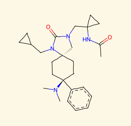 CC(=O)NC1(CN2C[C@]3(CC[C@](c4ccccc4)(N(C)C)CC3)N(CC3CC3)C2=O)CC1